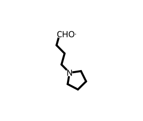 O=[C]CCCN1CCCC1